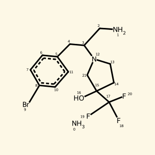 N.NCC(Cc1ccc(Br)cc1)N1CCC(O)(C(F)(F)F)C1